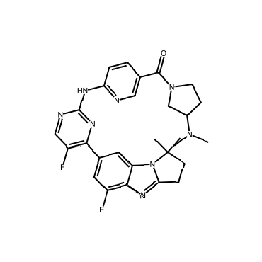 CN(C)C1CCN(C(=O)c2ccc(Nc3ncc(F)c(-c4cc(F)c5nc6n(c5c4)C(C)(C)CC6)n3)nc2)C1